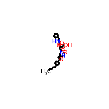 CCCCCc1ccc(-c2cc3cn(C4CC(OC(=O)NCc5ccccc5)C(CO)O4)c(=O)nc3o2)cc1